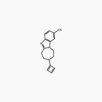 N#Cc1ccc2nc3n(c2c1)CCN(C1=CC=C1)CC3